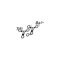 [Ba+2].[O-2].[O]=[Ti]([O-])[O-].[O]=[Ti]([O-])[O-].[Ti+4]